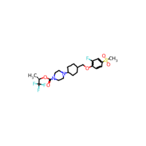 C[C@@H](OC(=O)N1CCN(C2CCC(COc3ccc(S(C)(=O)=O)cc3F)CC2)CC1)C(F)(F)F